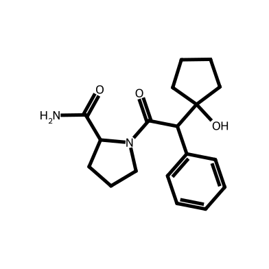 NC(=O)C1CCCN1C(=O)C(c1ccccc1)C1(O)CCCC1